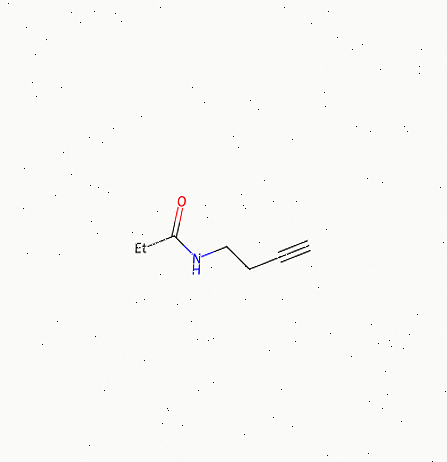 C#CCCNC(=O)CC